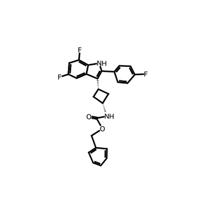 O=C(N[C@H]1C[C@@H](c2c(-c3ccc(F)cc3)[nH]c3c(F)cc(F)cc32)C1)OCc1ccccc1